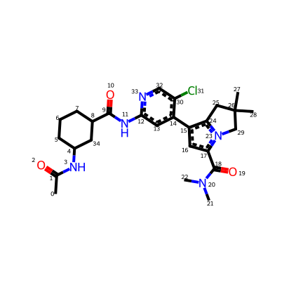 CC(=O)NC1CCCC(C(=O)Nc2cc(-c3cc(C(=O)N(C)C)n4c3CC(C)(C)C4)c(Cl)cn2)C1